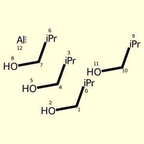 CC(C)CO.CC(C)CO.CC(C)CO.CC(C)CO.[Al]